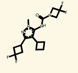 Cn1nc(C2CC(F)(F)C2)c(C2CCC2)c1NC(=O)N1CC(F)(F)C1